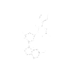 Cc1cc(N2CC(C)NC(/C(C=N)=C/N)C2C)nc(-c2cnc3cnc(C(F)(F)F)cn23)n1